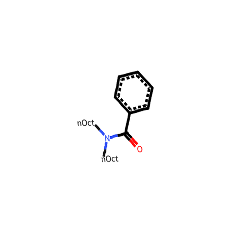 CCCCCCCCN(CCCCCCCC)C(=O)c1ccccc1